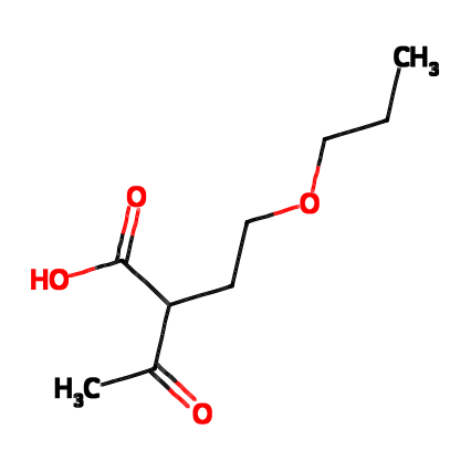 CCCOCCC(C(C)=O)C(=O)O